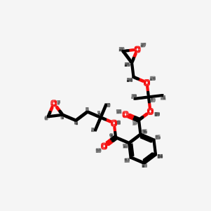 CC(C)(CCC1CO1)OC(=O)c1ccccc1C(=O)OC(C)(C)OCC1CO1